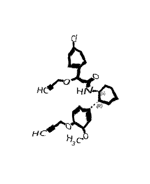 C#CCOc1ccc([C@H]2CCCC[C@@H]2NC(=O)C(OCC#C)c2ccc(Cl)cc2)cc1OC